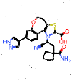 N#CC(CC1(C(N)=O)CCCC1)N1C2=C(CCOc3cc(-c4cn[nH]c4)ccc32)SC1C(=O)O